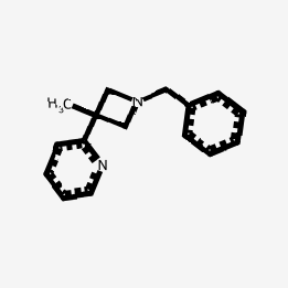 CC1(c2ccccn2)CN(Cc2ccccc2)C1